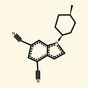 C[C@H]1CC[C@@H](n2ccc3c(C#N)cc(C#N)cc32)CC1